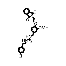 COc1cc(CNC(=S)NCCc2ccc(Cl)cc2)ccc1OCCN1C(=O)c2ccccc2C1=O